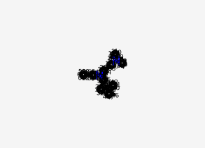 Cc1ccccc1N(c1ccccc1C)C1C=CC(c2ccc3c(c2)c2ccc(-c4ccccc4C4(C)C5=C(c6ccccc64)C(C)CC=C5)cc2n3-c2ccc(-c3ccccc3)cc2)=CC1